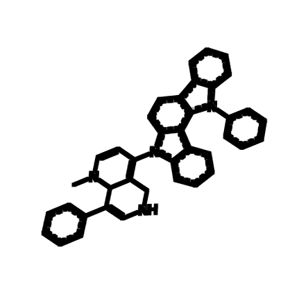 CN1C=CC(n2c3ccccc3c3c2ccc2c4ccccc4n(-c4ccccc4)c23)=C2CNC=C(c3ccccc3)C21